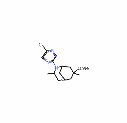 COC1(C)CC2CC(C)N(c3cnc(Cl)cn3)C(C2)C1